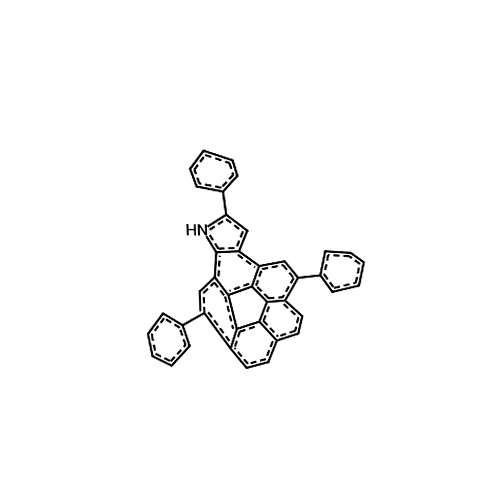 c1ccc(-c2cc3c4cc(-c5ccccc5)c5ccc6ccc7c(-c8ccccc8)cc(c3[nH]2)c2c7c6c5c42)cc1